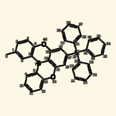 Cc1ccc2c(c1)B1c3ccccc3Oc3cc([Si](c4ccccc4)(c4ccccc4)c4ccccc4)cc(c31)O2